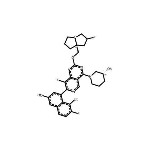 CCc1c(F)ccc2cc(O)cc(-c3ncc4c(N5CCC[C@@H](O)C5)nc(OC[C@@]56CCCN5CC(F)C6)nc4c3F)c12